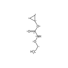 CCONC(=O)OC1CC1